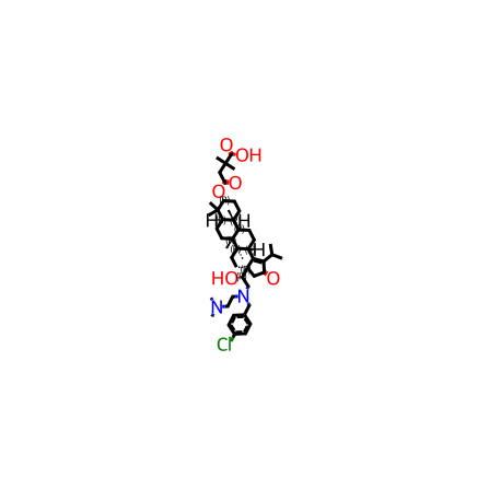 CC(C)C1=C2[C@H]3CC[C@@H]4[C@@]5(C)CC[C@@H](OC(=O)CC(C)(C)C(=O)O)C(C)(C)[C@@H]5CC[C@@]4(C)[C@]3(C)CC[C@@]2([C@@H](O)CN(CCN(C)C)Cc2ccc(Cl)cc2)CC1=O